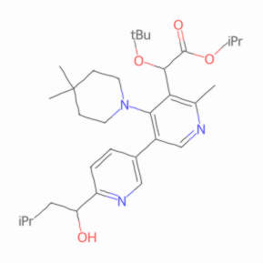 Cc1ncc(-c2ccc(C(O)CC(C)C)nc2)c(N2CCC(C)(C)CC2)c1C(OC(C)(C)C)C(=O)OC(C)C